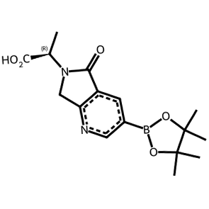 C[C@H](C(=O)O)N1Cc2ncc(B3OC(C)(C)C(C)(C)O3)cc2C1=O